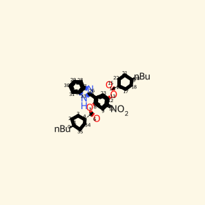 CCCC[C@H]1CC[C@H](C(=O)Oc2cc([N+](=O)[O-])c(OC(=O)[C@H]3CC[C@H](CCCC)CC3)cc2-c2nc3ccccc3[nH]2)CC1